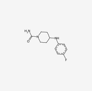 NC(=O)N1CCC(Nc2ccc(F)cc2)CC1